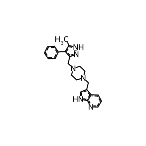 Cc1[nH]nc(CN2CCN(Cc3c[nH]c4ncccc34)CC2)c1-c1ccccc1